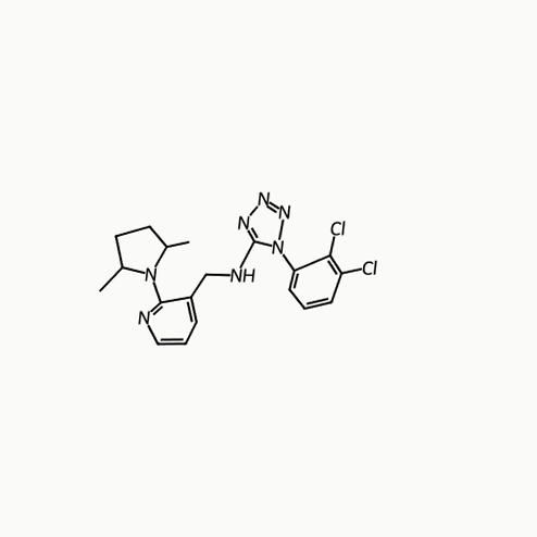 CC1CCC(C)N1c1ncccc1CNc1nnnn1-c1cccc(Cl)c1Cl